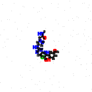 CNC(=O)Cn1cc(Nc2ncc(Cl)c(NC(CO)c3cccc(OC)c3)n2)cn1